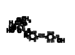 CC(CCc1nc2ccc(C#Cc3ccc(CO)cc3)cc2s1)(C(=O)NO)S(C)(=O)=O